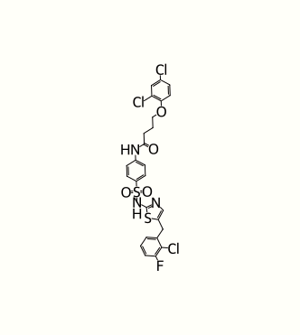 O=C(CCCOc1ccc(Cl)cc1Cl)Nc1ccc(S(=O)(=O)Nc2ncc(Cc3cccc(F)c3Cl)s2)cc1